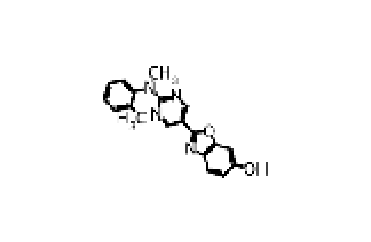 Cc1ccccc1N(C)c1ncc(-c2nc3ccc(O)cc3o2)cn1